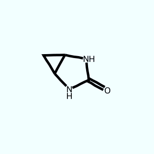 O=C1NC2CC2N1